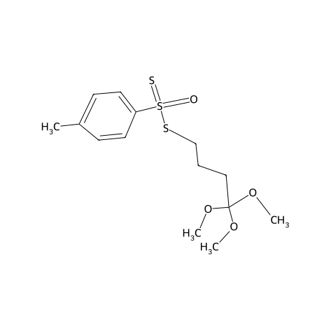 COC(CCCSS(=O)(=S)c1ccc(C)cc1)(OC)OC